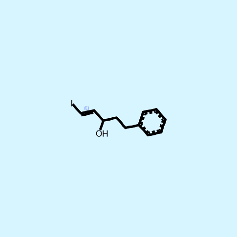 OC(/C=C/I)CCc1ccccc1